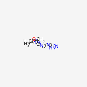 Cn1c(=O)n(CC(C)(C)C)c2ccc(N3CCCC(CN4CCC(c5nnc[nH]5)CC4)C3)nc21